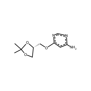 CC1(C)OC[C@@H](COc2cc(N)ncn2)O1